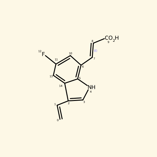 C=Cc1c[nH]c2c(/C=C/C(=O)O)cc(F)cc12